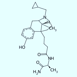 C[C@H](NC(=O)CCCC12CCCN(CC3CC3)C(Cc3ccc(O)cc31)[C@@H]2C)C(N)=O